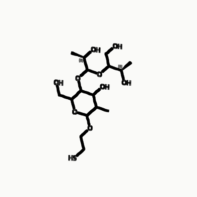 CC1C(OCCS)OC(CO)C(OC(OC(CO)[C@@H](C)O)[C@@H](C)O)C1O